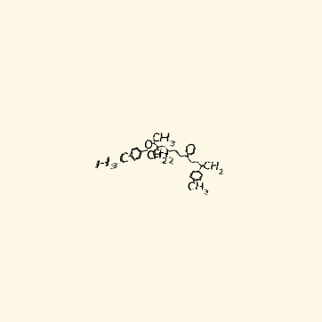 C=C(CCC(=O)CCCCC(=C)C(C)OC(=C)c1ccc(C)cc1)c1ccc(C)cc1